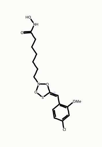 COc1cc(Cl)ccc1/C=C1/ON(CCCCCCC(=O)NO)OS1